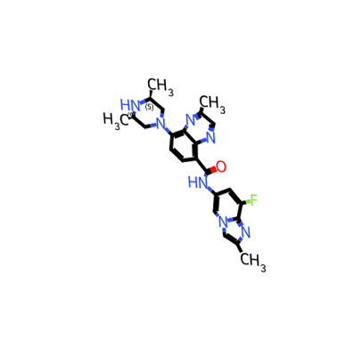 Cc1cnc2c(C(=O)Nc3cc(F)c4nc(C)cn4c3)ccc(N3C[C@H](C)N[C@@H](C)C3)c2n1